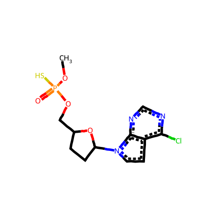 COP(=O)(S)OCC1CCC(n2ccc3c(Cl)ncnc32)O1